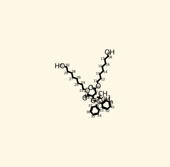 CC(C)(C)[Si](OC(CC(=O)OCCCCCCCCO)C(=O)OCCCCCCCCO)(c1ccccc1)c1ccccc1